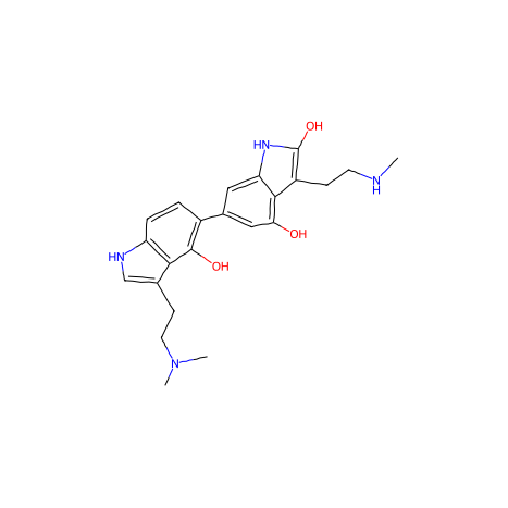 CNCCc1c(O)[nH]c2cc(-c3ccc4[nH]cc(CCN(C)C)c4c3O)cc(O)c12